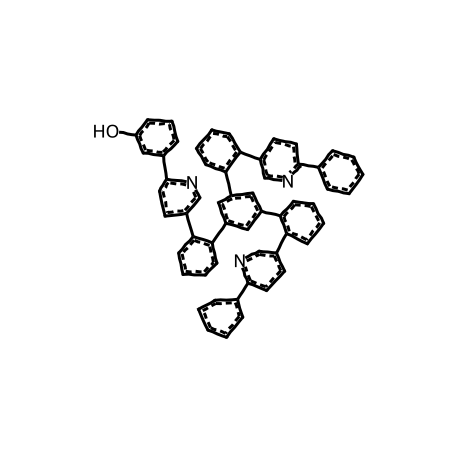 Oc1cccc(-c2ccc(-c3ccccc3-c3cc(-c4ccccc4-c4ccc(-c5ccccc5)nc4)cc(-c4ccccc4-c4ccc(-c5ccccc5)nc4)c3)cn2)c1